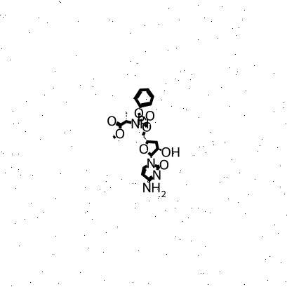 COC(=O)[C@H](C)NP(=O)(OC[C@@H]1C[C@@H](O)[C@H](n2ccc(N)nc2=O)O1)Oc1ccccc1